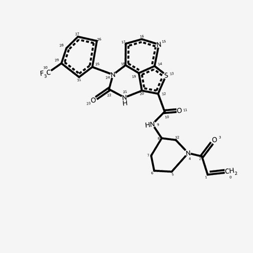 C=CC(=O)N1CCCC(NC(=O)c2sc3nccc4c3c2NC(=O)N4c2cccc(C(F)(F)F)c2)C1